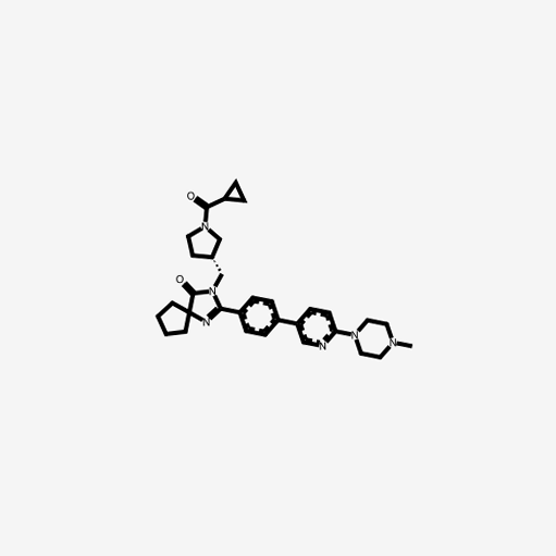 CN1CCN(c2ccc(-c3ccc(C4=NC5(CCCC5)C(=O)N4C[C@@H]4CCN(C(=O)C5CC5)C4)cc3)cn2)CC1